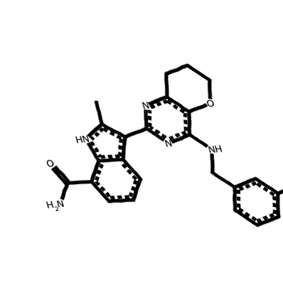 Cc1[nH]c2c(C(N)=O)cccc2c1-c1nc2c(c(NCc3cccc(F)c3)n1)OCCC2